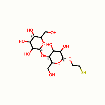 OCC1O[C@@H](O[C@@H]2C(CO)O[C@@H](OCCS)C(O)C2O)C(O)C(O)[C@H]1O